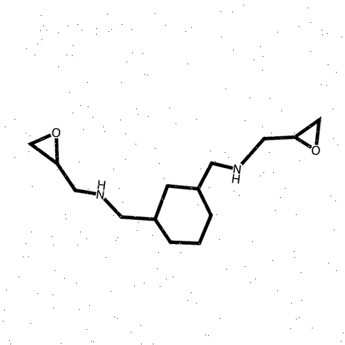 C1CC(CNCC2CO2)CC(CNCC2CO2)C1